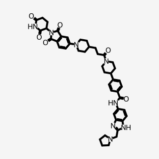 O=C1CCC(N2C(=O)c3ccc(N4CCC(CCC(=O)N5CCC(c6ccc(C(=O)Nc7ccc8[nH]c(CN9CCCC9)nc8c7)cc6)CC5)CC4)cc3C2=O)C(=O)N1